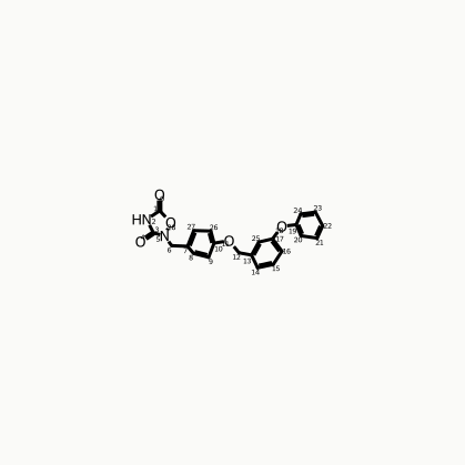 O=c1[nH]c(=O)n(Cc2ccc(OCc3cccc(Oc4ccccc4)c3)cc2)o1